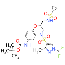 Cc1nn(C(F)F)cc1S(=O)(=O)N1C[C@H](CNS(=O)(=O)C2CC2)Oc2ccc(NC(=O)OC(C)(C)C(F)(F)F)cc21